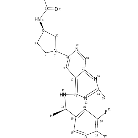 CC(=O)N[C@@H]1CCN(c2cc3c(N[C@H](C)c4ccc(F)c(F)c4)nc(C)nc3cn2)C1